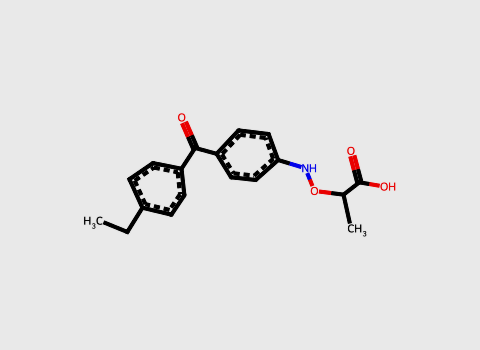 CCc1ccc(C(=O)c2ccc(NOC(C)C(=O)O)cc2)cc1